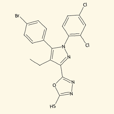 CCc1c(-c2nnc(S)o2)nn(-c2ccc(Cl)cc2Cl)c1-c1ccc(Br)cc1